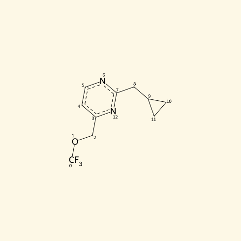 FC(F)(F)OCc1c[c]nc(CC2CC2)n1